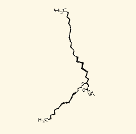 CCCCCCCCCCCCCCCCCCC(CC(=O)O)SCCCCCCCCCCCC